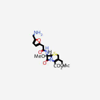 CO[C@@]1(NC(=O)Cc2ccc(CN)o2)C(=O)N2C(C(=O)O)=C(COC(C)=O)CS[C@@H]21